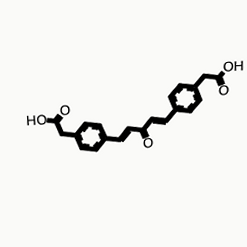 O=C(C=Cc1ccc(CC(=O)O)cc1)C=Cc1ccc(CC(=O)O)cc1